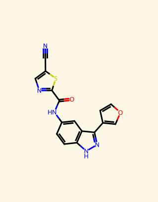 N#Cc1cnc(C(=O)Nc2ccc3[nH]nc(-c4ccoc4)c3c2)s1